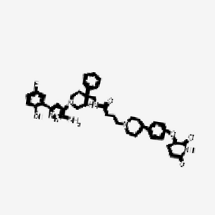 Nc1nnc(-c2cc(F)ccc2O)cc1N1CCC(CNC(=O)CCCN2CCC(c3ccc(OC4CCC(=O)NC4=O)cc3)CC2)(c2ccccc2)CC1